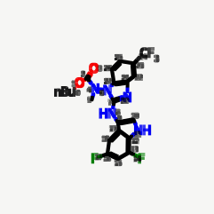 CCCCOC(=O)N(C)n1c(Nc2c[nH]c3c(F)cc(F)cc23)nc2cc(C(F)(F)F)ccc21